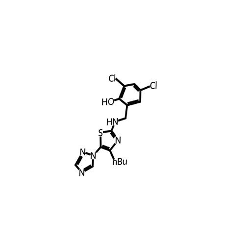 CCCCc1nc(NCc2cc(Cl)cc(Cl)c2O)sc1-n1cncn1